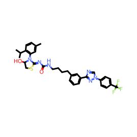 Cc1ccc(C(C)C)c(N2/C(=N/C(=O)NCCCCc3cccc(-c4ncn(-c5ccc(C(F)(F)F)cc5)n4)c3)SCC2O)c1